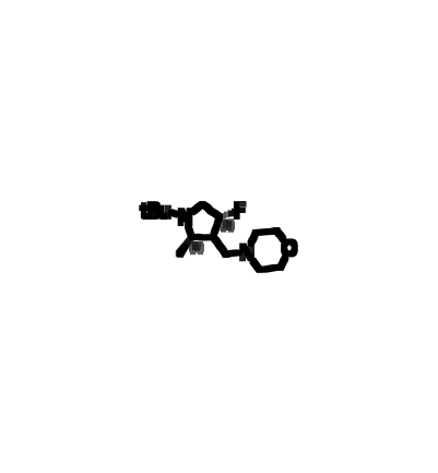 C[C@@H]1C(CN2CCOCC2)[C@@H](F)CN1C(C)(C)C